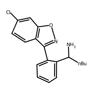 CCCCC(N)c1ccccc1-c1noc2cc(Cl)ccc12